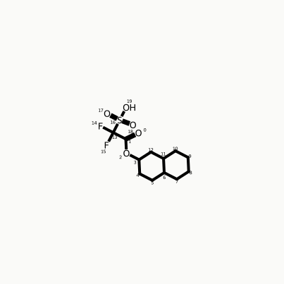 O=C(OC1CCC2CCCCC2C1)C(F)(F)S(=O)(=O)O